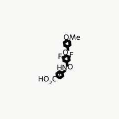 COc1ccc(COc2c(F)cc(C(=O)NCC34CCC(C(=O)O)(CC3)CC4)cc2F)cc1